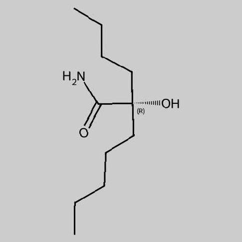 CCCCC[C@](O)(CCCC)C(N)=O